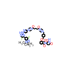 Cc1nc2c(F)cc(-c3nc(Nc4ccc(N5CCN(C(=O)CCCC(=O)N6CCN(Cc7ccc(COc8cccc9c8C(=O)N(C8CCC(=O)NC8=O)C9=O)cc7)CC6)CC5)cn4)ncc3F)cc2n1C(C)C